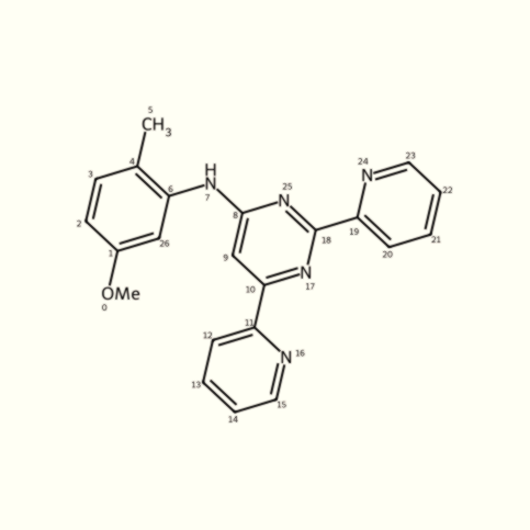 COc1ccc(C)c(Nc2cc(-c3ccccn3)nc(-c3ccccn3)n2)c1